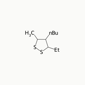 CCCCC1C(C)SSC1CC